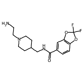 NCCN1CCC(CNC(=O)c2ccc3c(c2)OC(F)(F)O3)CC1